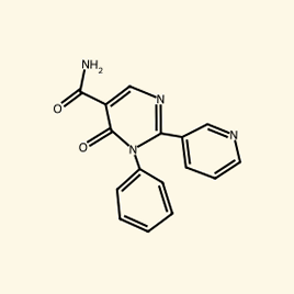 NC(=O)c1cnc(-c2cccnc2)n(-c2ccccc2)c1=O